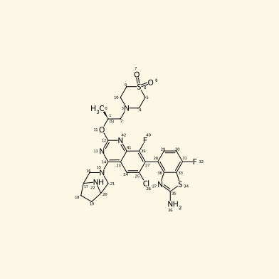 C[C@@H](CN1CCS(=O)(=O)CC1)Oc1nc(N2CC3CCC(C2)N3)c2cc(Cl)c(-c3ccc(F)c4sc(N)nc34)c(F)c2n1